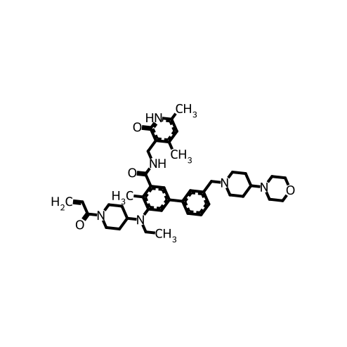 C=CC(=O)N1CCC(N(CC)c2cc(-c3cccc(CN4CCC(N5CCOCC5)CC4)c3)cc(C(=O)NCc3c(C)cc(C)[nH]c3=O)c2C)CC1